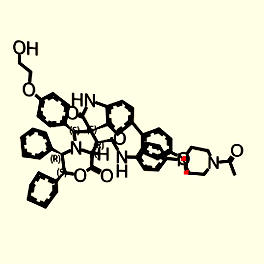 COc1ccc(-c2ccc3c(c2)[C@]2(C(=O)N3)[C@H](c3ccc(OCCO)cc3)N3[C@H](c4ccccc4)[C@H](c4ccccc4)OC(=O)[C@H]3[C@@H]2C(=O)Nc2ccc(N3CCN(C(C)=O)CC3)cc2)cc1